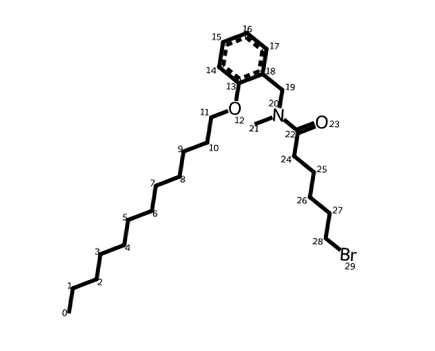 CCCCCCCCCCCCOc1ccccc1CN(C)C(=O)CCCCCBr